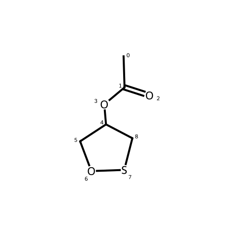 CC(=O)OC1COSC1